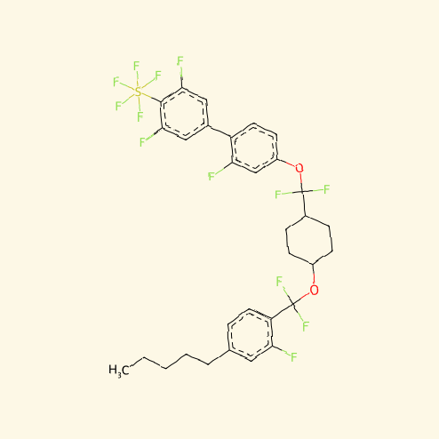 CCCCCc1ccc(C(F)(F)OC2CCC(C(F)(F)Oc3ccc(-c4cc(F)c(S(F)(F)(F)(F)F)c(F)c4)c(F)c3)CC2)c(F)c1